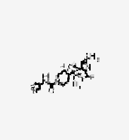 Cn1cc(S(=O)(=O)C(C)(C)C2CCN(C(=O)Nc3cnoc3)CC2)c(C(F)F)n1